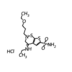 CCN[C@H]1CN(CCCOCC)Sc2sc(S(N)(=O)=O)cc21.Cl